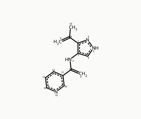 C=C(Nc1c[nH]nc1C(=C)C)c1cccnc1